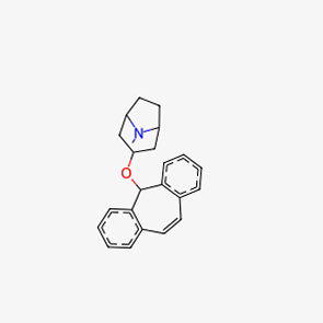 CN1C2CCC1CC(OC1c3ccccc3C=Cc3ccccc31)C2